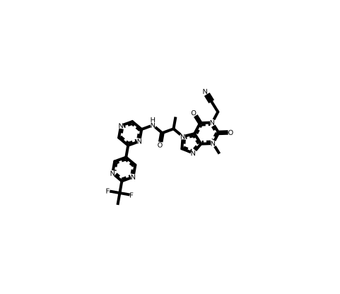 CC(C(=O)Nc1cncc(-c2cnc(C(C)(F)F)nc2)n1)n1cnc2c1c(=O)n(CC#N)c(=O)n2C